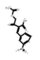 CC(=O)OCC(=O)C(=Cc1cccc([N+](=O)[O-])c1)C(=O)O